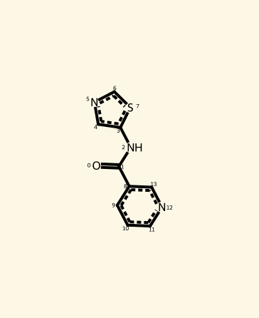 O=C(Nc1cncs1)c1cccnc1